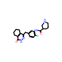 O=C(Nc1cc(Cc2n[nH]c(=O)c3c2CCCC3)ccc1F)C1CCCNC1